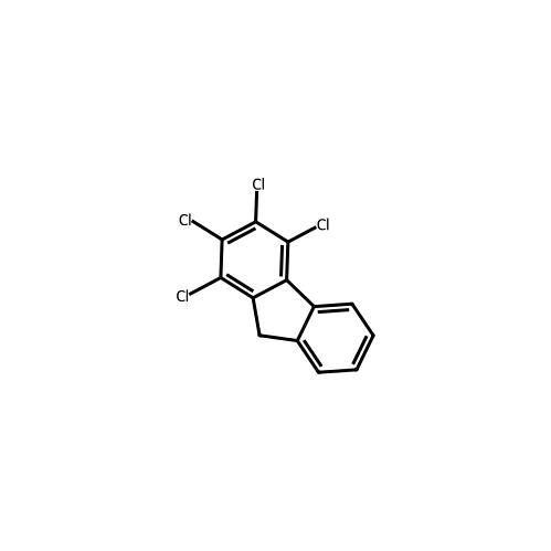 Clc1c(Cl)c(Cl)c2c(c1Cl)Cc1ccccc1-2